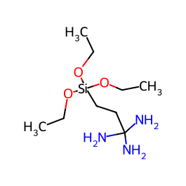 CCO[Si](CCC(N)(N)N)(OCC)OCC